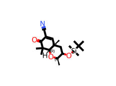 C[C@H]1O[C@H]2C(C)(C)C(=O)C(C#N)=C[C@]2(C)CC1O[Si](C)(C)C(C)(C)C